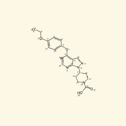 CCOc1ccc(Oc2ncnc3c2cnn3C2CCN(C(=O)O)CC2)cc1